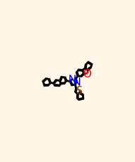 c1ccc(-c2ccc3cc(-c4cc(-c5cc6ccccc6s5)nc(-c5ccc6c(c5)oc5ccccc56)n4)ccc3c2)cc1